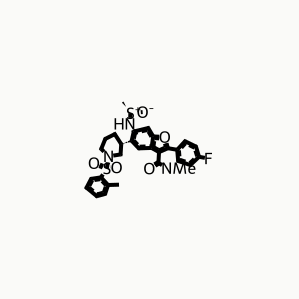 CNC(=O)c1c(-c2ccc(F)cc2)oc2cc(N[S@+](C)[O-])c([C@H]3CCCN(S(=O)(=O)c4ccccc4C)C3)cc12